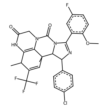 COc1ccc(F)cc1C1=NC(c2ccc(Cl)cc2)C2N1C(=O)N1CC(=O)NC3=C1C2(C)C=C(C(F)(F)F)C3C